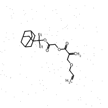 C=CCOCC(=C)C(=O)OCC(=O)OC(CC)(CC)C12CC3CC(CC(C3)C1)C2